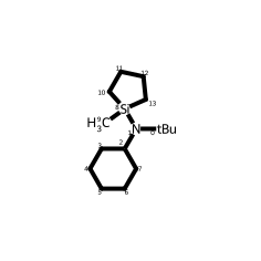 CC(C)(C)N(C1CCCCC1)[Si]1(C)CCCC1